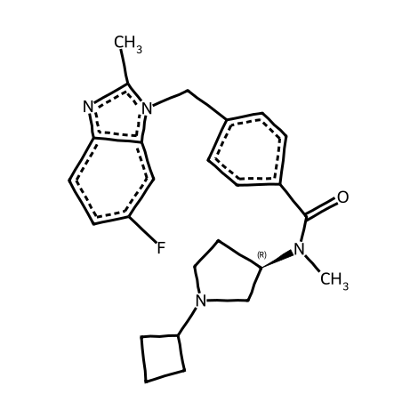 Cc1nc2ccc(F)cc2n1Cc1ccc(C(=O)N(C)[C@@H]2CCN(C3CCC3)C2)cc1